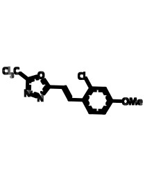 COc1ccc(C=Cc2nnc(C(Cl)(Cl)Cl)o2)c(Cl)c1